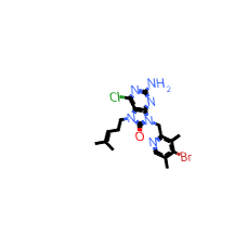 CC(C)=CCCn1c(=O)n(Cc2ncc(C)c(Br)c2C)c2nc(N)nc(Cl)c21